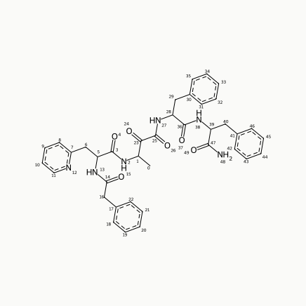 CC(NC(=O)C(Cc1ccccn1)NC(=O)Cc1ccccc1)C(=O)C(=O)NC(Cc1ccccc1)C(=O)NC(Cc1ccccc1)C(N)=O